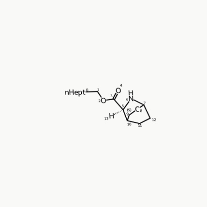 CCCCCCCCOC(=O)[C@H]1NC2CCC1CC2